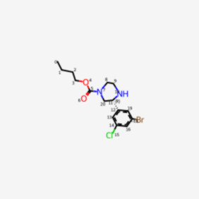 CCCCOC(=O)N1CCN[C@H](c2cc(Cl)cc(Br)c2)C1